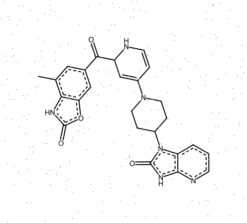 Cc1cc(C(=O)C2C=C(N3CCC(n4c(=O)[nH]c5ncccc54)CC3)C=CN2)cc2oc(=O)[nH]c12